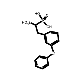 O=P(O)(O)C(Cc1cccc(Oc2ccccc2)c1)S(=O)(=O)O